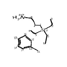 CC[Si](CC)(CC)CCCN.Cc1ccccc1